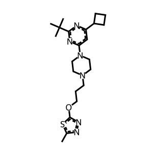 Cc1nnc(OCCCN2CCN(c3cc(C4CCC4)nc(C(C)(C)C)n3)CC2)s1